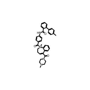 Cc1ccc(-c2ccccc2C(=O)Nc2ccc(C(=O)[N+]3(C)CCC=C(C(=O)N4CCN(C)CC4)c4ccccc43)cc2)cc1